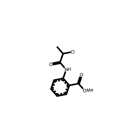 COC(=O)c1ccccc1NC(=O)C(C)Cl